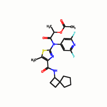 CC(=O)OC(C)C(=O)N(c1cc(F)nc(F)c1)c1nc(C(=O)NC2CCC23CCCC3)c(C)s1